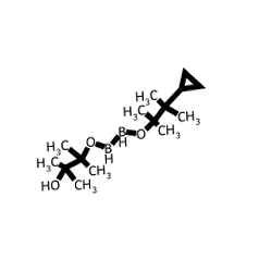 CC(C)(O)C(C)(C)OBBOC(C)(C)C(C)(C)C1CC1